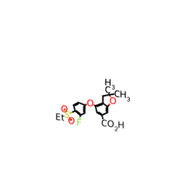 CCS(=O)(=O)c1ccc(Oc2cc(C(=O)O)cc3c2CC(C)(C)O3)cc1F